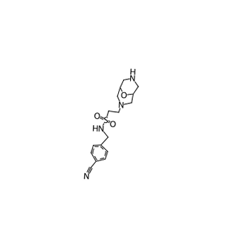 N#Cc1ccc(CNS(=O)(=O)CCN2CC3CNCC(C2)O3)cc1